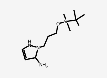 CC(C)(C)[Si](C)(C)OCCCN1NC=CC1N